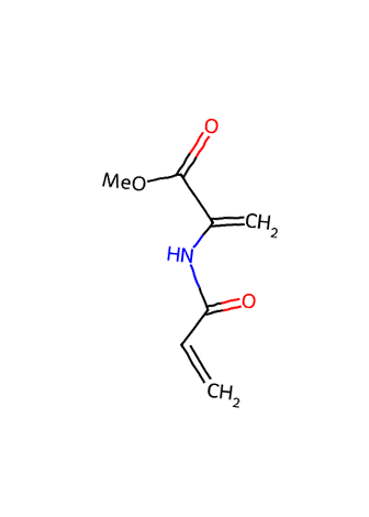 C=CC(=O)NC(=C)C(=O)OC